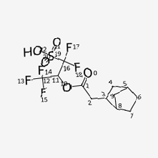 O=C(CC1CC2CCC1C2)OC(C(F)(F)F)C(F)(F)S(=O)(=O)O